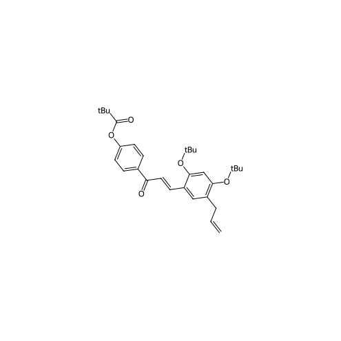 C=CCc1cc(C=CC(=O)c2ccc(OC(=O)C(C)(C)C)cc2)c(OC(C)(C)C)cc1OC(C)(C)C